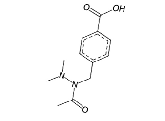 CC(=O)N(Cc1ccc(C(=O)O)cc1)N(C)C